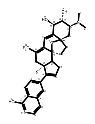 CN(C)[C@H]1C[C@@]23CC[C@@]4(O2)C(=C(C(F)(F)F)C[C@]2(C)C(c5ccc6c(O)nccc6c5)=CCC24)C=C3[C@@H](O)[C@@H]1O